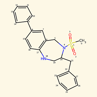 CS(=O)(=O)N1Cc2cc(-c3ccccc3)ccc2NCC1Cc1ccccc1